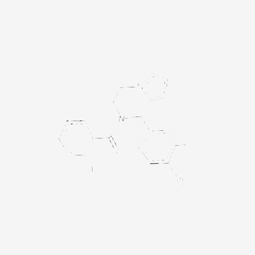 O=C(c1ccccc1F)N1CCn2cccc2C1c1ccc(Cl)c(Cl)c1